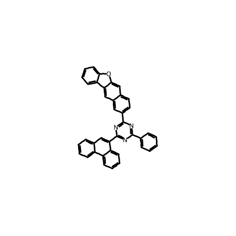 c1ccc(-c2nc(-c3ccc4cc5oc6ccccc6c5cc4c3)nc(-c3cc4ccccc4c4ccccc34)n2)cc1